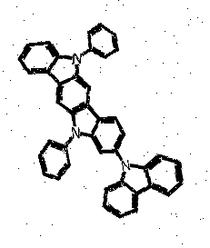 c1ccc(-n2c3ccccc3c3cc4c(cc32)c2ccc(-n3c5ccccc5c5ccccc53)cc2n4-c2ccccc2)cc1